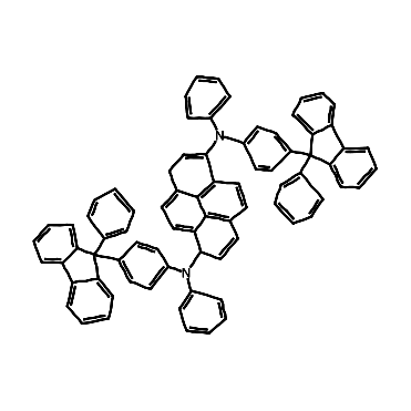 C1=CC(N(c2ccccc2)c2ccc(C3(c4ccccc4)c4ccccc4-c4ccccc43)cc2)c2ccc3c4c(ccc1c24)C(N(c1ccccc1)c1ccc(C2(c4ccccc4)c4ccccc4-c4ccccc42)cc1)=CC3